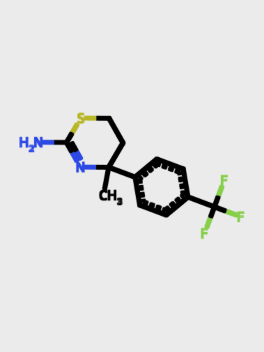 CC1(c2ccc(C(F)(F)F)cc2)CCSC(N)=N1